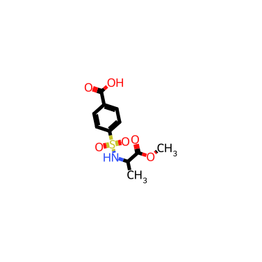 COC(=O)C(C)NS(=O)(=O)c1ccc(C(=O)O)cc1